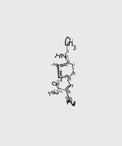 CCNc1ccc(C=C(C#N)C(=O)O)cc1